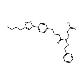 O=C(O)CCN(OCc1ccccc1)C(=O)CCCc1ccc(-n2cc(CCCF)nn2)cc1